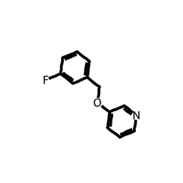 Fc1cccc(COc2cccnc2)c1